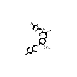 CCc1nnc(NC(=O)/C(C#N)=C\c2ccc(OCc3ccc(C)cc3C)c(OC)c2)s1